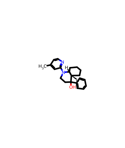 Cc1ccnc(N2CCC(O)(c3ccccc3)[C@H]3CCCC[C@H]32)c1